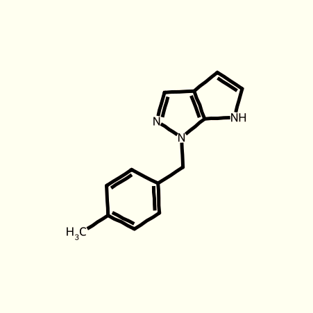 Cc1ccc(Cn2ncc3cc[nH]c32)cc1